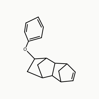 C1=CC2CC1C1C3CC(Oc4ccccc4)C(C3)C21